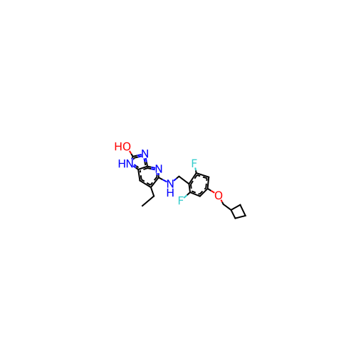 CCc1cc2[nH]c(O)nc2nc1NCc1c(F)cc(OCC2CCC2)cc1F